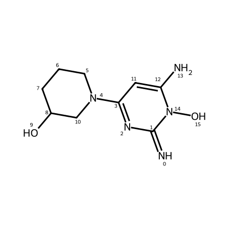 N=c1nc(N2CCCC(O)C2)cc(N)n1O